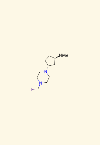 CN[C@@H]1CC[C@@H](N2CCN(CI)CC2)C1